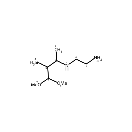 COC(OC)C([SiH3])C(C)NCCN